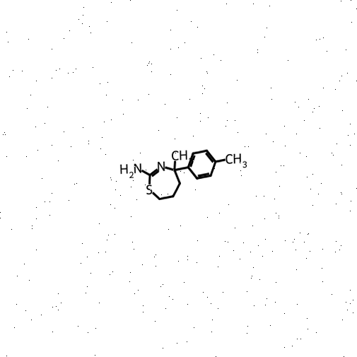 Cc1ccc(C2(C)CCCSC(N)=N2)cc1